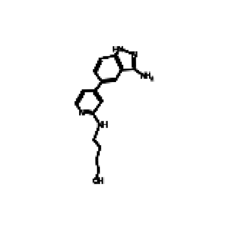 Nc1n[nH]c2ccc(-c3ccnc(NCCCCO)c3)cc12